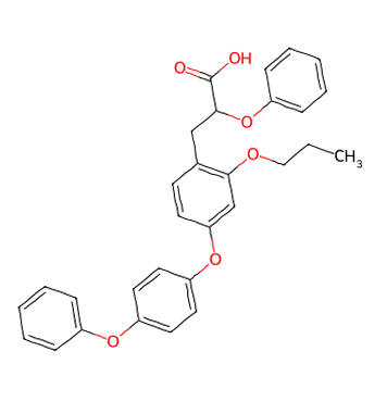 CCCOc1cc(Oc2ccc(Oc3ccccc3)cc2)ccc1CC(Oc1ccccc1)C(=O)O